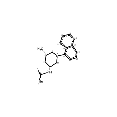 CCC(C)C(=O)N[C@@H]1C[C@H](C)CN(c2ccnc3nccnc23)C1